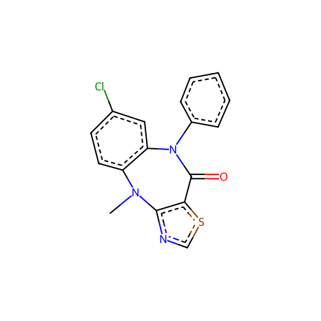 CN1c2ccc(Cl)cc2N(c2ccccc2)C(=O)c2scnc21